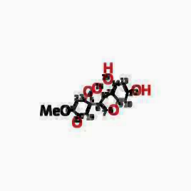 COC1=CC(=O)C(c2coc3cc(O)cc(O)c3c2=O)=CC1=O